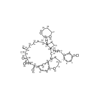 CCCc1cc(Cl)ccc1[C@@H]1COc2ccc3cc2N(C1)C[C@@H]1CC[C@H]1[C@@H](C1OCCCO1)CCC[C@H](C)[C@@H](C)S(=O)(=O)NC3=O